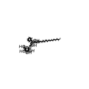 CCCCCCCCCCCCCCCCOCC(O)CN(Cc1ccccc1)CC(O)CO[C@@H]1O[C@H](CO)[C@@H](O)[C@H](O)[C@H]1O